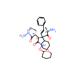 CC(C)C[C@@H](C(=O)NN)[C@H](C(=O)NOC1CCCCO1)C(/C=C/c1ccccc1)(C(=O)[C@@H](C)N)C1CCCCC1